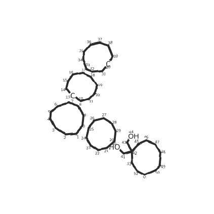 C1CCCCCCCCC1.C1CCCCCCCCC1.C1CCCCCCCCC1.C1CCCCCCCCC1.OCC1(CO)CCCCCCCCC1